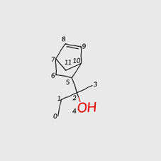 CCC(C)(O)C1CC2C=CC1C2